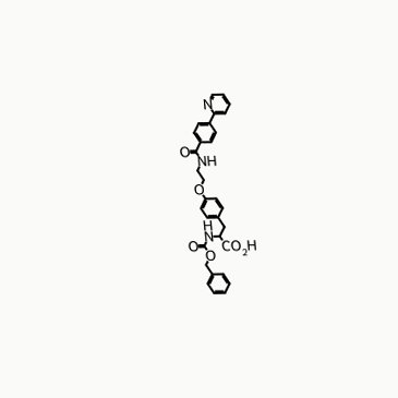 O=C(NC(Cc1ccc(OCCNC(=O)c2ccc(-c3ccccn3)cc2)cc1)C(=O)O)OCc1ccccc1